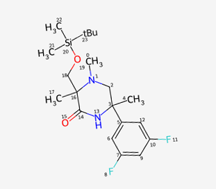 CN1CC(C)(c2cc(F)cc(F)c2)NC(=O)C1(C)CO[Si](C)(C)C(C)(C)C